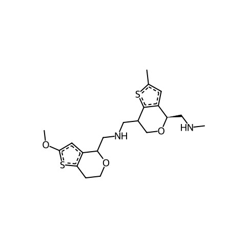 CNC[C@H]1OCC(CNCC2OCCc3sc(OC)cc32)c2sc(C)cc21